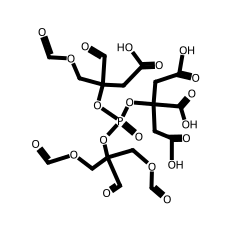 O=COCC(C=O)(COC=O)OP(=O)(OC(C=O)(COC=O)CC(=O)O)OC(CC(=O)O)(CC(=O)O)C(=O)O